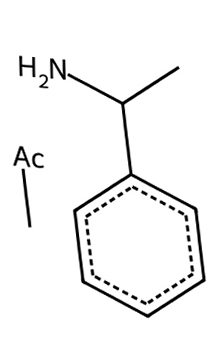 CC(C)=O.CC(N)c1ccccc1